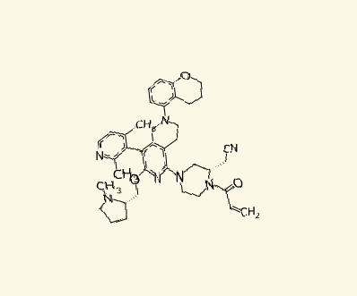 C=CC(=O)N1CCN(c2nc(OC[C@@H]3CCCN3C)c(-c3c(C)ccnc3C)c3c2CCN(c2cccc4c2CCCO4)C3)C[C@@H]1CC#N